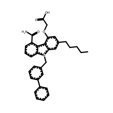 CCCCCc1cc(OCC(=O)O)c2c3c(C(N)=O)cccc3n(Cc3cccc(-c4ccccc4)c3)c2c1